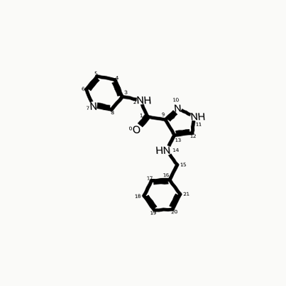 O=C(Nc1cccnc1)c1n[nH]cc1NCc1ccccc1